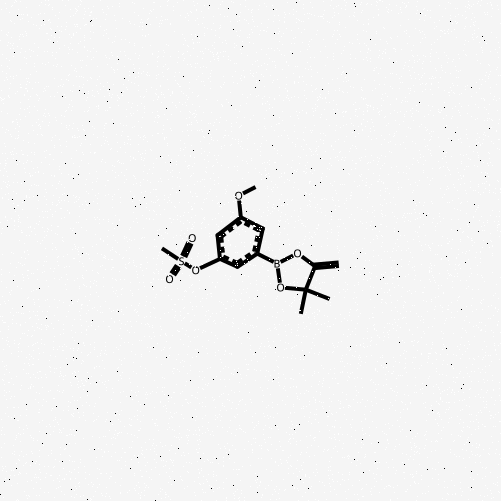 C=C1OB(c2cc(OC)cc(OS(C)(=O)=O)c2)OC1(C)C